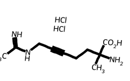 CC(=N)NCC#CCCC(C)(N)C(=O)O.Cl.Cl